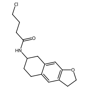 O=C(CCCCl)NC1CCc2cc3c(cc2C1)OCC3